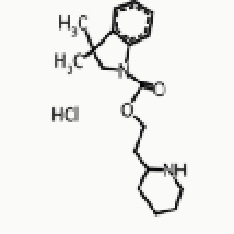 CC1(C)CN(C(=O)OCCC2CCCCN2)c2ccccc21.Cl